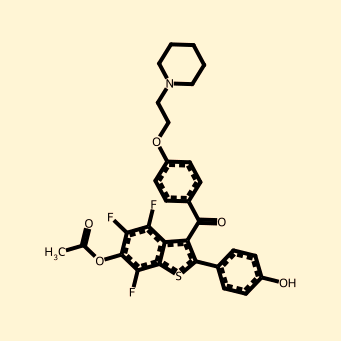 CC(=O)Oc1c(F)c(F)c2c(C(=O)c3ccc(OCCN4CCCCC4)cc3)c(-c3ccc(O)cc3)sc2c1F